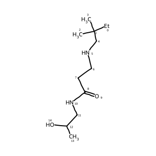 CCC(C)(C)CNCCC(=O)NCC(C)O